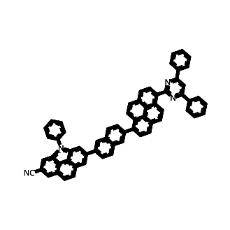 N#Cc1cc2ccc3cc(-c4ccc5cc(-c6ccc7ccc8c(-c9nc(-c%10ccccc%10)cc(-c%10ccccc%10)n9)ccc9ccc6c7c98)ccc5c4)cc4c3c2c(c1)n4-c1ccccc1